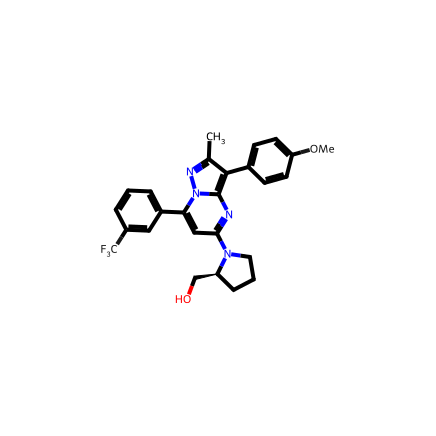 COc1ccc(-c2c(C)nn3c(-c4cccc(C(F)(F)F)c4)cc(N4CCC[C@H]4CO)nc23)cc1